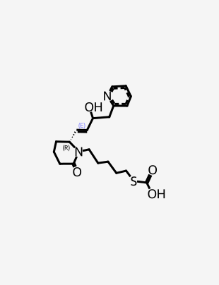 O=C(O)SCCCCCN1C(=O)CCC[C@@H]1/C=C/C(O)Cc1ccccn1